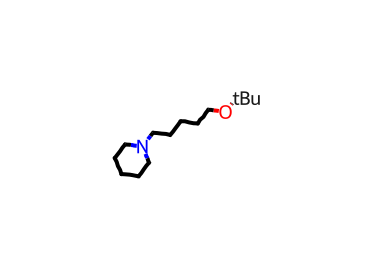 CC(C)(C)OCCCCCN1CCCCC1